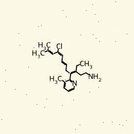 CC/C(CCN)=C(\C/C=C/C=C(/Cl)C=C(C)C)c1ncccc1C